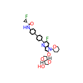 O=C(Nc1ccc(-c2ccc(-c3nc4cc(O[C@@H]5CO[C@H]6[C@@H]5OC[C@H]6O)n(C5CCCCO5)c4cc3F)cc2)cc1)[C@@H]1C[C@@H]1F